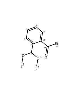 CCOC(OCC)c1ccccc1C(=O)CC